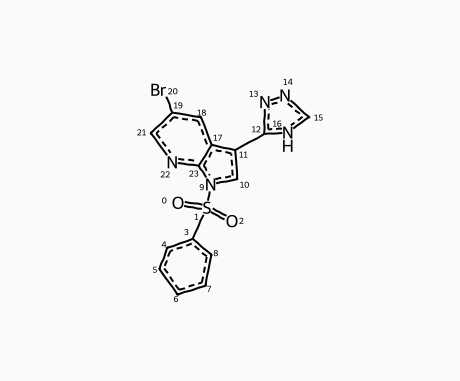 O=S(=O)(c1ccccc1)n1cc(-c2nnc[nH]2)c2cc(Br)cnc21